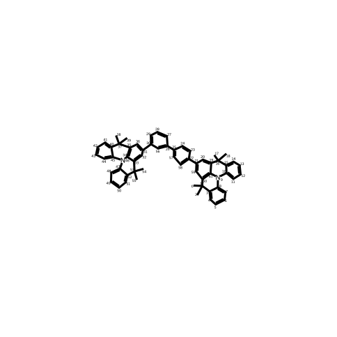 CC1(C)c2ccccc2N2c3ccccc3C(C)(C)c3cc(-c4ccc(-c5cccc(-c6cc7c8c(c6)C(C)(C)c6ccccc6N8c6ccccc6C7(C)C)c5)cc4)cc1c32